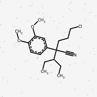 CCC(CC)C(C#N)(CCCCl)c1ccc(OC)c(OC)c1